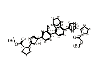 CC(C)(C)OC(=O)N1CCCC1c1ncc(-c2ccc(-c3ccc(-c4cnc([C@@H]5CCCN5C(=O)OC(C)(C)C)[nH]4)c4c3C3CCC4C3)c(F)c2)[nH]1